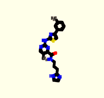 O=C(NCCCc1ncc[nH]1)c1nc(Nc2nc(-c3cccc(C(F)(F)F)c3)cs2)ncc1C(F)(F)F